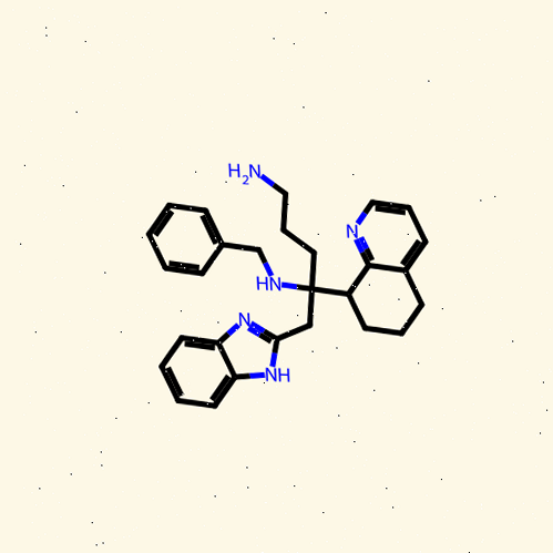 NCCCC(Cc1nc2ccccc2[nH]1)(NCc1ccccc1)C1CCCc2cccnc21